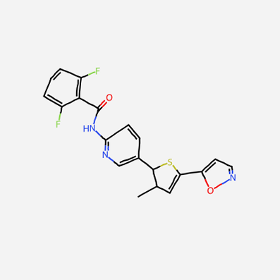 CC1C=C(c2ccno2)SC1c1ccc(NC(=O)c2c(F)cccc2F)nc1